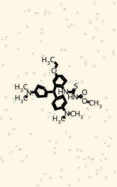 CCOc1ccc(NC(=S)NC(=O)OC)c(C(c2ccc(N(C)C)cc2)c2ccc(N(C)C)cc2)c1